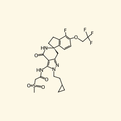 CS(=O)(=O)CC(=O)Nc1c2c(nn1CCC1CC1)C[C@]1(CCc3c1ccc(OCC(F)(F)F)c3F)NC2=O